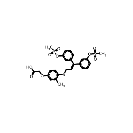 Cc1cc(OCC(=O)O)ccc1SCC=C(c1cccc(OS(C)(=O)=O)c1)c1cccc(OS(C)(=O)=O)c1